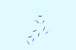 CCc1cc(-c2sncc2-c2ccc3cccnc3c2)cc(CC)c1CC